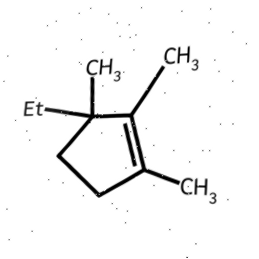 CCC1(C)CCC(C)=C1C